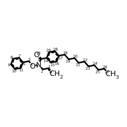 C=CCN(OCc1ccccc1)C(=O)c1ccc(CCCCCCCCCC)cc1